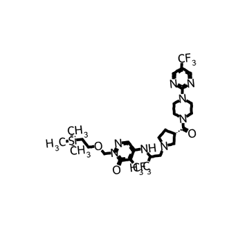 CC(CN1CC[C@H](C(=O)N2CCN(c3ncc(C(F)(F)F)cn3)CC2)C1)Nc1cnn(COCC[Si](C)(C)C)c(=O)c1C(F)(F)F